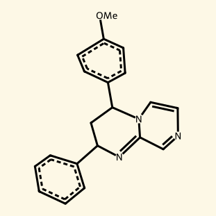 COc1ccc(C2CC(c3ccccc3)N=C3C=NC=CN32)cc1